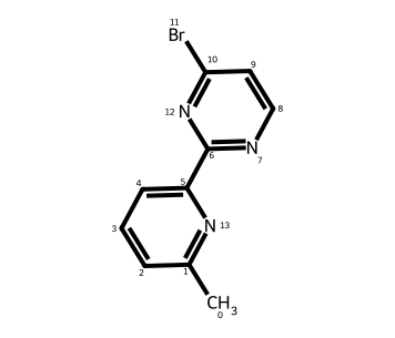 Cc1cccc(-c2nccc(Br)n2)n1